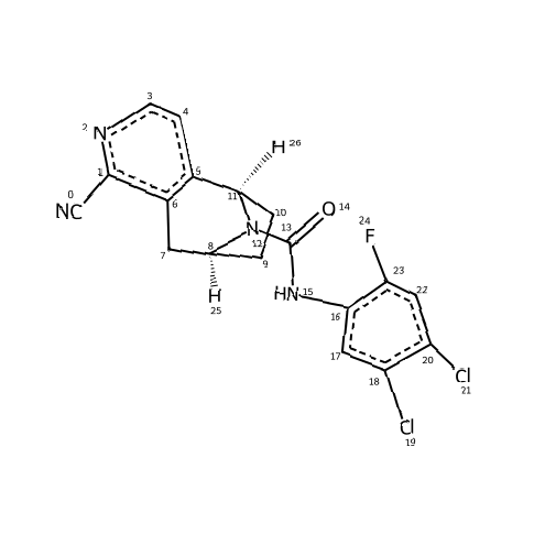 N#Cc1nccc2c1C[C@@H]1CC[C@H]2N1C(=O)Nc1cc(Cl)c(Cl)cc1F